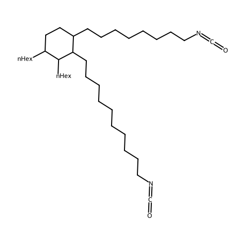 CCCCCCC1CCC(CCCCCCCCN=C=O)C(CCCCCCCCCCN=C=O)C1CCCCCC